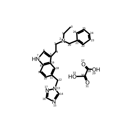 CCN(CCc1c[nH]c2ccc(Cn3cncn3)cc12)Cc1ccccc1.O=C(O)C(=O)O